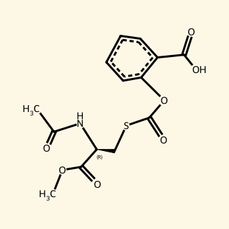 COC(=O)[C@H](CSC(=O)Oc1ccccc1C(=O)O)NC(C)=O